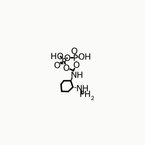 O=P1(O)OC(N[C@@H]2CCCC[C@H]2NP)OP(=O)(O)O1